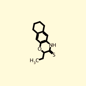 CCC1Oc2cc3c(cc2NC1=S)CCCC3